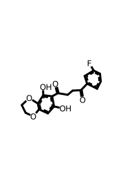 O=C(CCC(=O)c1c(O)cc2c(c1O)OCCO2)c1cccc(F)c1